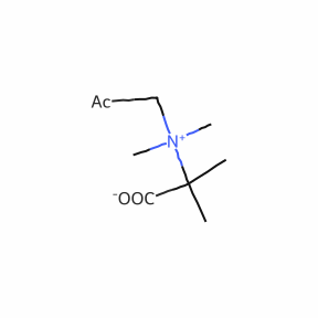 CC(=O)C[N+](C)(C)C(C)(C)C(=O)[O-]